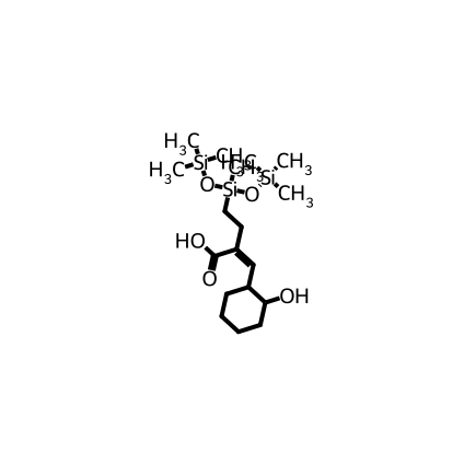 C[Si](C)(C)O[Si](C)(CC/C(=C/C1CCCCC1O)C(=O)O)O[Si](C)(C)C